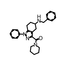 O=C(c1nn(-c2ccccc2)c2c1CC(NCc1ccccc1)CC2)N1CCCCC1